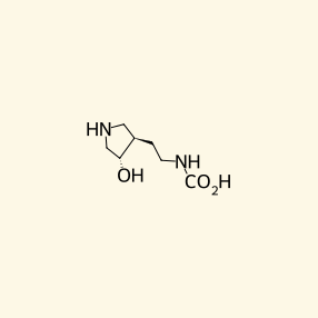 O=C(O)NCC[C@@H]1CNC[C@H]1O